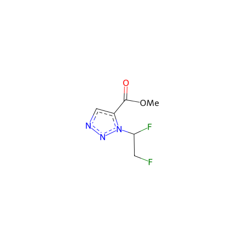 COC(=O)c1cnnn1C(F)CF